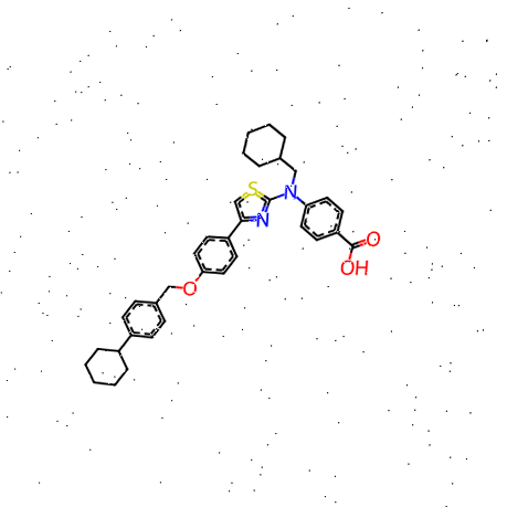 O=C(O)c1ccc(N(CC2CCCCC2)c2nc(-c3ccc(OCc4ccc(C5CCCCC5)cc4)cc3)cs2)cc1